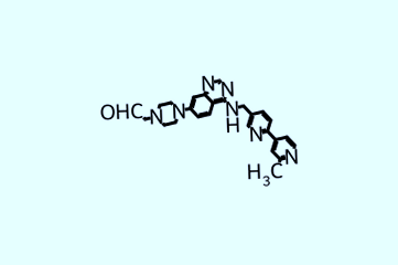 Cc1cc(-c2ccc(CNc3ncnc4cc(N5CCN(CC=O)CC5)ccc34)cn2)ccn1